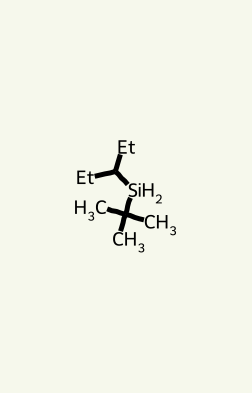 CCC(CC)[SiH2]C(C)(C)C